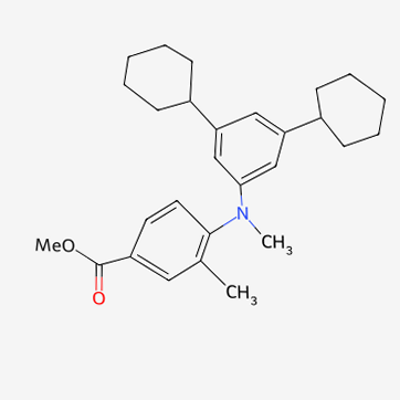 COC(=O)c1ccc(N(C)c2cc(C3CCCCC3)cc(C3CCCCC3)c2)c(C)c1